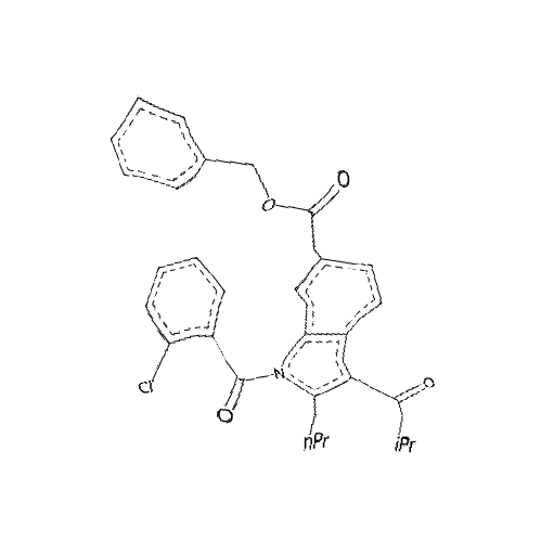 CCCc1c(C(=O)C(C)C)c2ccc(C(=O)OCc3ccccc3)cc2n1C(=O)c1ccccc1Cl